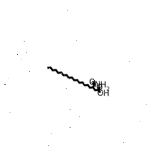 CCCCCCCCCCCCCCCCCC(CC(=O)O)C(N)=O